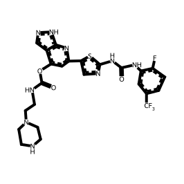 O=C(Nc1ncc(-c2cc(OC(=O)NCCN3CCNCC3)c3cn[nH]c3n2)s1)Nc1cc(C(F)(F)F)ccc1F